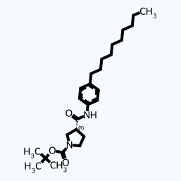 CCCCCCCCCCc1ccc(NC(=O)[C@@H]2CCN(C(=O)OC(C)(C)C)C2)cc1